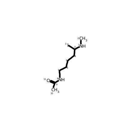 CNC(I)CCCCNC(C)=O